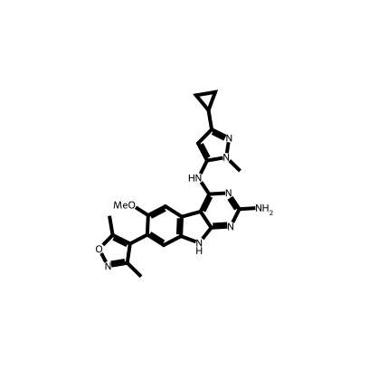 COc1cc2c(cc1-c1c(C)noc1C)[nH]c1nc(N)nc(Nc3cc(C4CC4)nn3C)c12